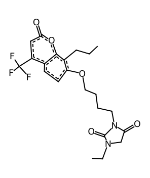 CCCc1c(OCCCCN2C(=O)CN(CC)C2=O)ccc2c(C(F)(F)F)cc(=O)oc12